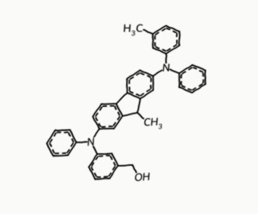 Cc1cccc(N(c2ccccc2)c2ccc3c(c2)C(C)c2cc(N(c4ccccc4)c4cccc(CO)c4)ccc2-3)c1